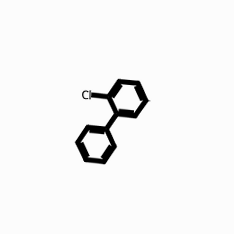 Clc1cc[c]cc1-c1ccccc1